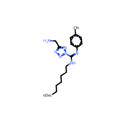 CCCCCCCCCCCCCCCCNC(=Nc1ccc(C#N)cc1)n1nnc(CN)n1